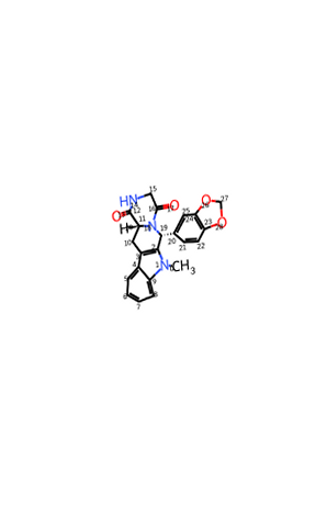 Cn1c2c(c3ccccc31)C[C@@H]1C(=O)NCC(=O)N1[C@@H]2c1ccc2c(c1)OCO2